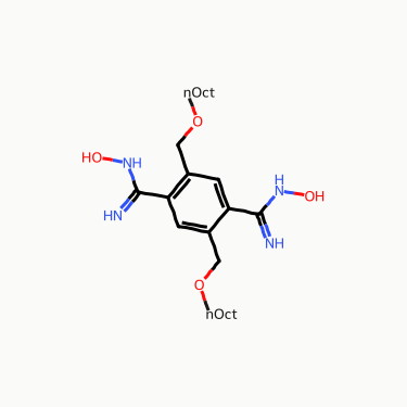 CCCCCCCCOCc1cc(C(=N)NO)c(COCCCCCCCC)cc1C(=N)NO